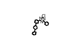 Clc1nc(C2=CCCC=C2)nc(-c2cccc(C3=CCC(c4ccccc4)CC3)c2)n1